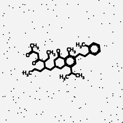 CCCC(CC1CC(=O)c2c(C)c(CCc3ccccc3C)cc(C(C)C)c2C1)C(CC)C(=O)CC(C)=O